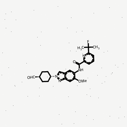 COc1cc2nn([C@H]3CC[C@H](C=O)CC3)cc2cc1NC(=O)c1cccc(C(C)(C)F)n1